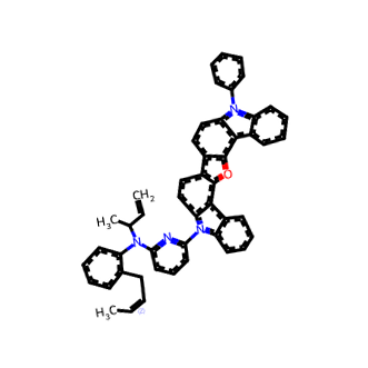 C=CC(C)N(c1cccc(-n2c3ccccc3c3c4oc5c(ccc6c5c5ccccc5n6-c5ccccc5)c4ccc32)n1)c1ccccc1C/C=C\C